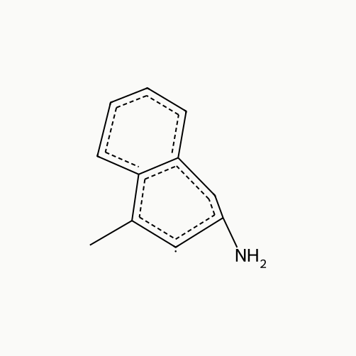 Cc1[c]c(N)cc2ccccc12